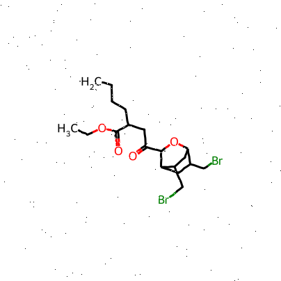 [CH2]CCCC(CC(=O)[C]1OC2CC(CBr)C1CC2CBr)C(=O)OCC